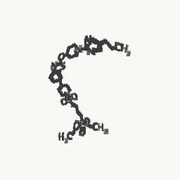 CCCc1cnc(N2CCC(Oc3nc4ccc(C5=CCN(S(=O)(=O)CCCCP(=O)(OCC)OCC)CC5)cc4s3)CC2)nc1